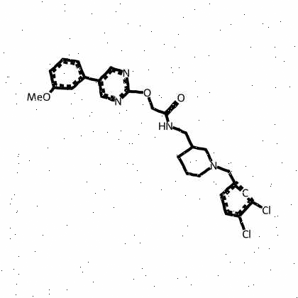 COc1cccc(-c2cnc(OCC(=O)NCC3CCCN(Cc4ccc(Cl)c(Cl)c4)C3)nc2)c1